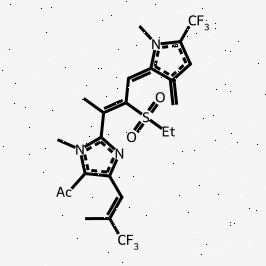 C=c1cc(C(F)(F)F)n(C)/c1=C/C(=C(\C)c1nc(/C=C(\C)C(F)(F)F)c(C(C)=O)n1C)S(=O)(=O)CC